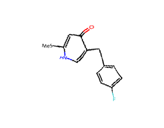 CSc1cc(=O)c(Cc2ccc(F)cc2)c[nH]1